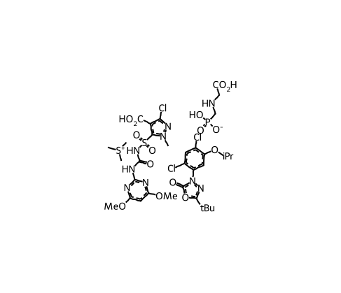 CC(C)Oc1cc(-n2nc(C(C)(C)C)oc2=O)c(Cl)cc1Cl.COc1cc(OC)nc(NC(=O)NS(=O)(=O)c2c(C(=O)O)c(Cl)nn2C)n1.C[S+](C)C.O=C(O)CNCP(=O)([O-])O